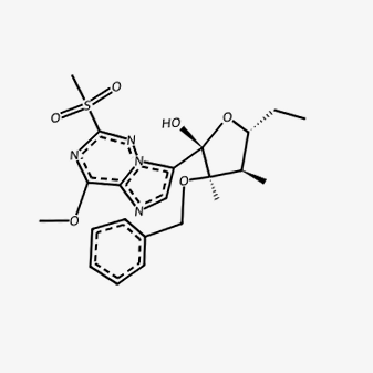 CC[C@H]1O[C@@](O)(c2cnc3c(OC)nc(S(C)(=O)=O)nn23)[C@](C)(OCc2ccccc2)[C@@H]1C